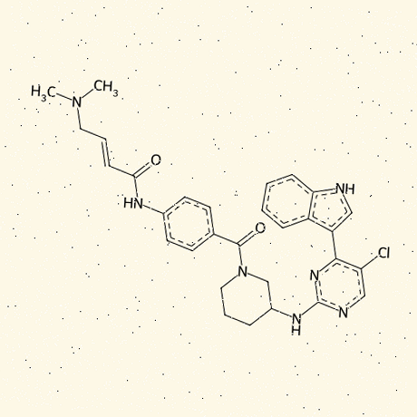 CN(C)CC=CC(=O)Nc1ccc(C(=O)N2CCCC(Nc3ncc(Cl)c(-c4c[nH]c5ccccc45)n3)C2)cc1